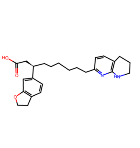 O=C(O)C[C@@H](CCCCCCc1ccc2c(n1)NCCC2)c1ccc2c(c1)OCC2